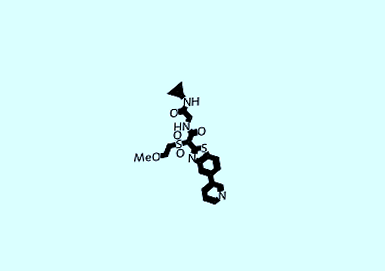 COCCS(=O)(=O)C(C(=O)NCC(=O)NC1CC1)c1nc2cc(-c3cccnc3)ccc2s1